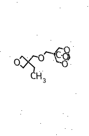 CCC1(COCC23COC(OC2)OC3)COC1